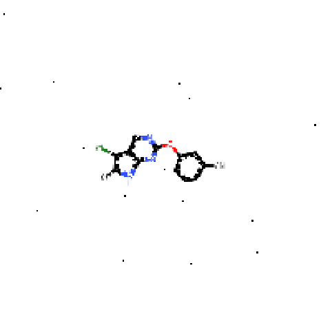 CCc1[nH]c2nc(Oc3cccc(C#N)c3)ncc2c1Cl